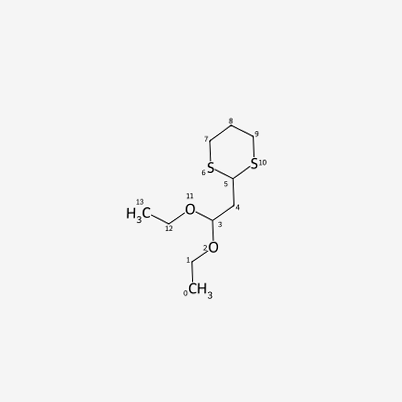 CCOC(CC1SCCCS1)OCC